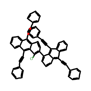 Clc1c(-c2cccc3c(C#Cc4ccccc4)c4ccccc4c(C#Cc4ccccc4)c23)ccc2c(C#Cc3ccccc3)c3ccccc3c(C#Cc3ccccc3)c12